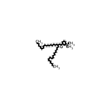 CCCCC/C=C\C/C=C\CCCCCCCCC(CCCCCCCC/C=C\C/C=C\CCCCC)CC(=O)C1CCCC(N(C)C)C1